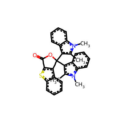 Cc1c(C2(c3c(C)n(C)c4ccccc34)OC(=O)c3sc4ccccc4c32)c2ccccc2n1C